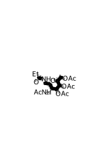 CCC(=O)NCC1OC(COC(C)=O)C(OC(C)=O)C(OC(C)=O)C1NC(C)=O